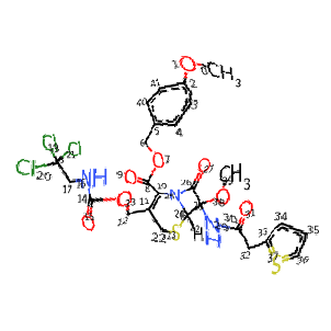 COc1ccc(COC(=O)C2=C(COC(=O)NCC(Cl)(Cl)Cl)CS[C@@H]3N2C(=O)C3(NC(=O)Cc2cccs2)OC)cc1